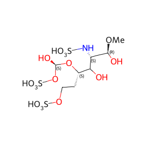 CO[C@@H](O)[C@@H](NS(=O)(=O)O)C(O)[C@H](CCOS(=O)(=O)O)O[C@H](O)OS(=O)(=O)O